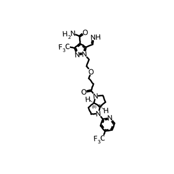 N=Cc1c(C(N)=O)c(C(F)(F)F)nn1CCOCCC(=O)N1CC[C@@H]2[C@H]1CCN2c1cc(C(F)(F)F)ccn1